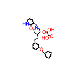 O=C(O)C(=O)O.O=c1[nH]cccc1CN1CCC(CCc2cccc(OCc3ccccc3)c2)CC1